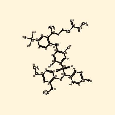 CNC(=O)OCCN(C)c1cc(C(F)(F)F)ccc1Nc1cc(F)c(S(=O)(=O)N(Cc2ccc(OC)cc2OC)c2ncc(F)cn2)cc1Cl